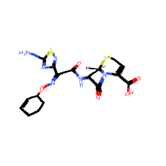 Nc1nc(C(=NOC2C=CCCC2)C(=O)NC2C(=O)N3C(C(=O)O)=CCS[C@@H]23)ns1